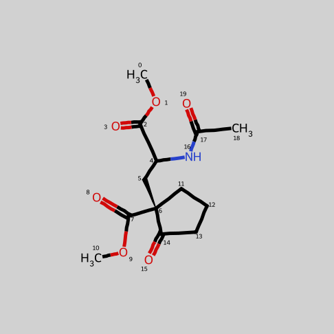 COC(=O)C(C[C@@]1(C(=O)OC)CCCC1=O)NC(C)=O